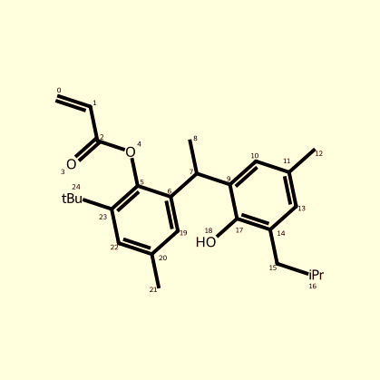 C=CC(=O)Oc1c(C(C)c2cc(C)cc(CC(C)C)c2O)cc(C)cc1C(C)(C)C